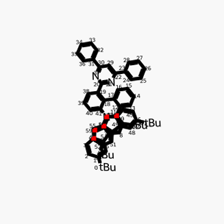 CC(C)(C)c1ccc2c(c1)-c1cc(C(C)(C)C)c(-c3ccccc3-c3c(-c4nc(-c5ccccc5)cc(-c5ccccc5)n4)cccc3-n3c4ccc(C(C)(C)C)cc4c4cc(C(C)(C)C)ccc43)cc1C2